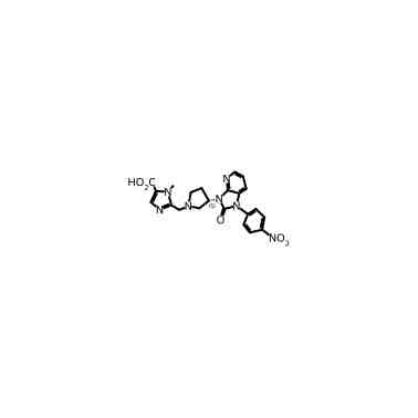 Cn1c(C(=O)O)cnc1CN1CC[C@H](n2c(=O)n(-c3ccc([N+](=O)[O-])cc3)c3cccnc32)C1